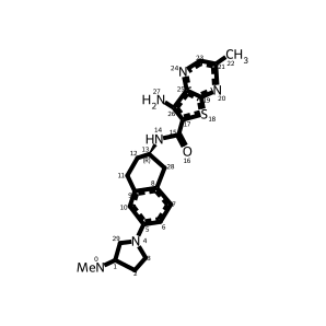 CNC1CCN(c2ccc3c(c2)CC[C@@H](NC(=O)c2sc4nc(C)cnc4c2N)C3)C1